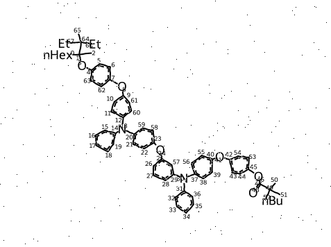 CCCCCCC(C)(Oc1ccc(Oc2ccc(N(c3ccccc3)c3ccc(Oc4cccc(N(c5ccccc5)c5ccc(Oc6ccc(OC(=O)C(C)(C)CCCC)cc6)cc5)c4)cc3)cc2)cc1)C(C)(CC)CC